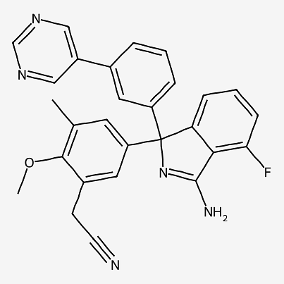 COc1c(C)cc(C2(c3cccc(-c4cncnc4)c3)N=C(N)c3c(F)cccc32)cc1CC#N